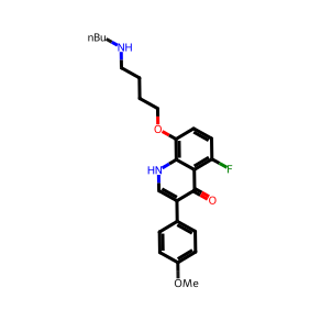 CCCCNCCCCOc1ccc(F)c2c(=O)c(-c3ccc(OC)cc3)c[nH]c12